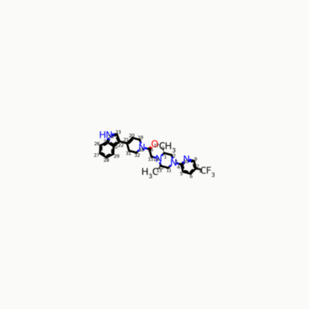 C[C@@H]1CN(c2ccc(C(F)(F)F)cn2)C[C@H](C)N1CC(=O)N1CC=C(c2c[nH]c3ccccc23)CC1